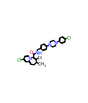 CCC1=C(C(=O)NCc2ccc(N3CCN(c4ccc(Cl)cc4)CC3)cc2)N2C=CC(Cl)=CC2=CCC1C